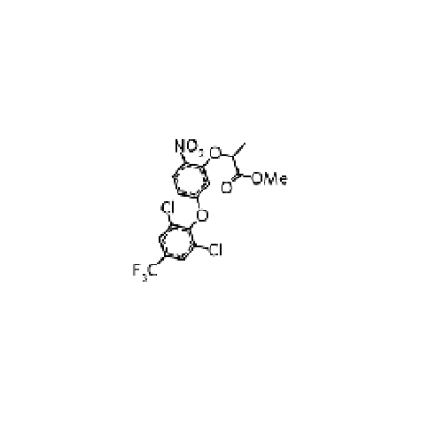 COC(=O)C(C)Oc1cc(Oc2c(Cl)cc(C(F)(F)F)cc2Cl)ccc1[N+](=O)[O-]